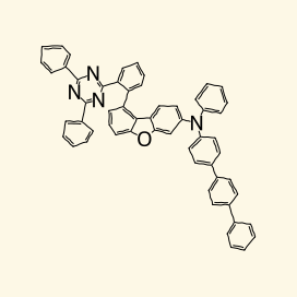 c1ccc(-c2ccc(-c3ccc(N(c4ccccc4)c4ccc5c(c4)oc4cccc(-c6ccccc6-c6nc(-c7ccccc7)nc(-c7ccccc7)n6)c45)cc3)cc2)cc1